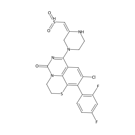 O=c1nc(N2CCN/C(=C/[SH](=O)=O)C2)c2cc(Cl)c(-c3ccc(F)cc3F)c3c2n1CCS3